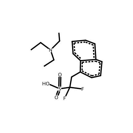 CCN(CC)CC.O=S(=O)(O)C(F)(F)Cc1cccc2ccccc12